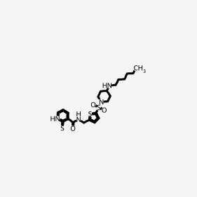 CCCCCCNC1CCN(S(=O)(=O)c2ccc(CNC(=O)c3ccc[nH]c3=S)s2)CC1